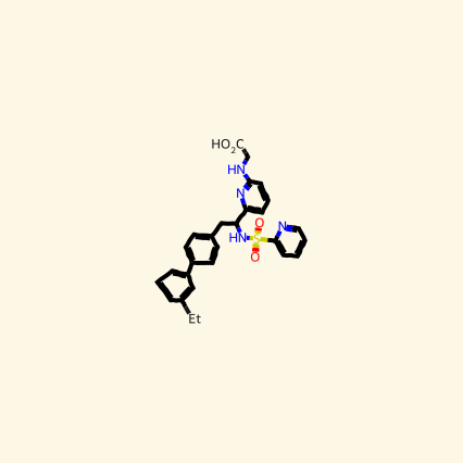 CCc1cccc(-c2ccc(CC(NS(=O)(=O)c3ccccn3)c3cccc(NCC(=O)O)n3)cc2)c1